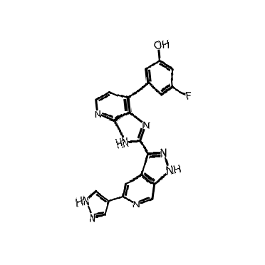 Oc1cc(F)cc(-c2ccnc3[nH]c(-c4n[nH]c5cnc(-c6cn[nH]c6)cc45)nc23)c1